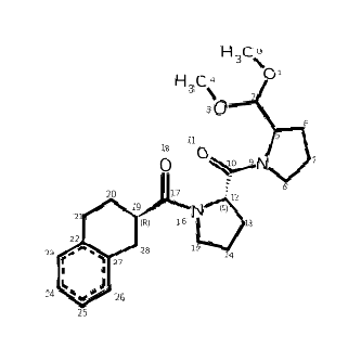 COC(OC)C1CCCN1C(=O)[C@@H]1CCCN1C(=O)[C@@H]1CCc2ccccc2C1